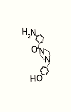 Nc1cccc(C(=O)N2CCCN(Cc3ccc(O)cc3)CC2)c1